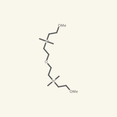 COCC[N+](C)(C)CCOCC[N+](C)(C)CCOC